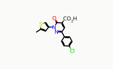 Cc1cc(-n2nc(-c3ccc(Cl)cc3)cc(C(=O)O)c2=O)cs1